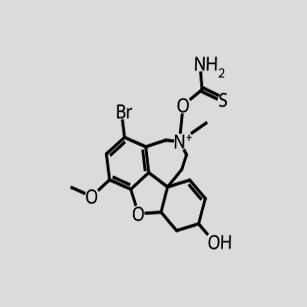 COc1cc(Br)c2c3c1OC1CC(O)C=CC31CC[N+](C)(OC(N)=S)C2